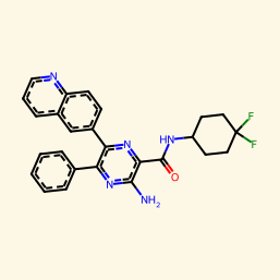 Nc1nc(-c2ccccc2)c(-c2ccc3ncccc3c2)nc1C(=O)NC1CCC(F)(F)CC1